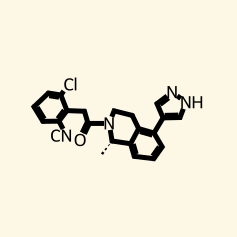 C[C@H]1c2cccc(-c3cn[nH]c3)c2CCN1C(=O)Cc1c(Cl)cccc1C#N